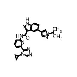 CC(C)n1cc(-c2ccc3[nH]nc(C(=O)Nc4cccc(-c5nncn5C5CC5)n4)c3c2)cn1